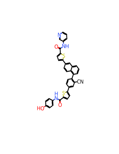 N#Cc1cc(-c2ccc(C(=O)Nc3ccc(O)cc3)s2)ccc1-c1cccc2cc(-c3ccc(C(=O)Nc4cccnc4)s3)ccc12